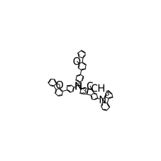 CC1(C)c2cc(N(c3ccc(-c4ccc5c(c4)oc4ccccc45)cc3)c3ccc(-c4cccc5c4oc4ccccc45)cc3)ccc2-c2ccc(-n3c4ccccc4c4ccccc43)cc21